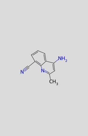 Cc1cc(N)c2cccc(C#N)c2n1